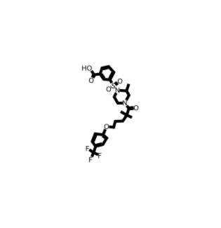 CC1CN(C(=O)C(C)(C)CCCOc2ccc(C(F)(F)F)cc2)CCN1S(=O)(=O)c1cccc(C(=O)O)c1